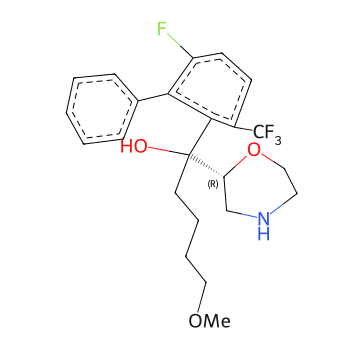 COCCCCC(O)(c1c(C(F)(F)F)ccc(F)c1-c1ccccc1)[C@H]1CNCCO1